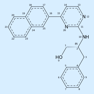 OC[C@@H](Cc1ccccc1)Nc1nccc(-c2ccc3ccccc3c2)n1